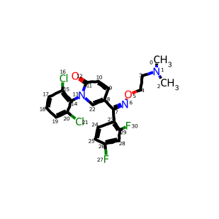 CN(C)CCO/N=C(\c1ccc(=O)n(-c2c(Cl)cccc2Cl)c1)c1ccc(F)cc1F